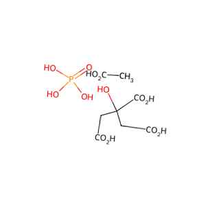 CC(=O)O.O=C(O)CC(O)(CC(=O)O)C(=O)O.O=P(O)(O)O